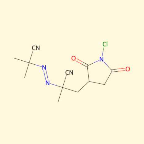 CC(C)(C#N)N=NC(C)(C#N)CC1CC(=O)N(Cl)C1=O